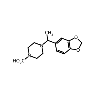 CC(c1ccc2c(c1)OCO2)N1CCN(C(=O)O)CC1